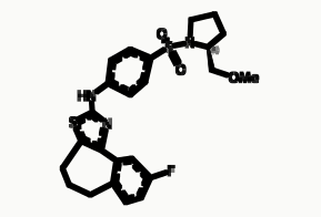 COC[C@@H]1CCCN1S(=O)(=O)c1ccc(Nc2nc3c(s2)CCCc2ccc(F)cc2-3)cc1